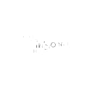 CC(=O)O.NN=Cc1ccc(N2CC[C@H](NC(=O)NCCC(=O)O)C2=O)cc1